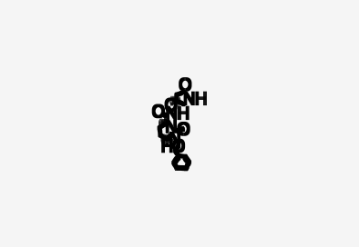 O=C1C[C@@H](ONC(=O)[C@@H]2CC[C@@H]3CN2C(=O)N3OCc2ccccc2)CN1